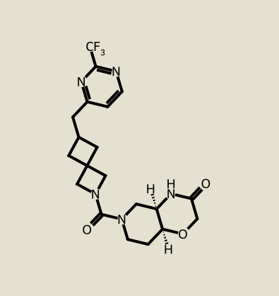 O=C1CO[C@H]2CCN(C(=O)N3CC4(CC(Cc5ccnc(C(F)(F)F)n5)C4)C3)C[C@H]2N1